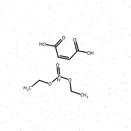 CCO[PH](=O)OCC.O=C(O)/C=C\C(=O)O